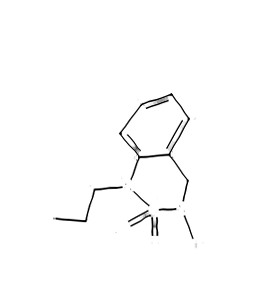 CC(C)N1Cc2ccccc2N(CCCl)S1(=O)=O